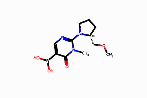 COC[C@H]1CCCN1c1ncc(B(O)O)c(=O)n1C